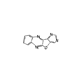 c1ccc2nc3c(nc2c1)oc1cncnc13